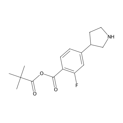 CC(C)(C)C(=O)OC(=O)c1ccc(C2CCNC2)cc1F